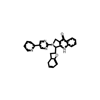 O=c1c2c([nH]c3ccccc13)C(C1CC3CC=CC=C3O1)N(c1ncc(-c3ccccn3)cn1)C2